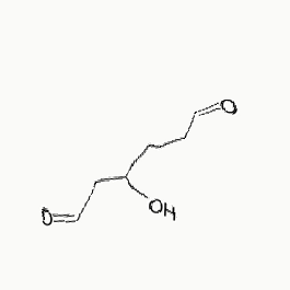 O=CCCC(O)CC=O